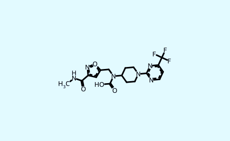 CNC(=O)c1cc(CN(C(=O)O)C2CCN(c3nccc(C(F)(F)F)n3)CC2)on1